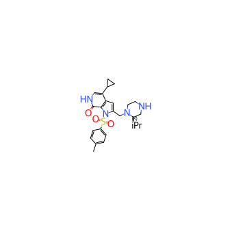 Cc1ccc(S(=O)(=O)n2c(CN3CCNC[C@H]3C(C)C)cc3c(C4CC4)c[nH]c(=O)c32)cc1